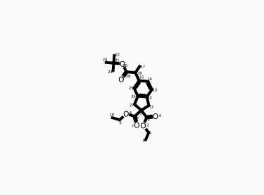 CCOC(=O)C1(C(=O)OCC)Cc2ccc(C(C)C(=O)OC(C)(C)C)cc2C1